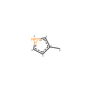 Cc1[c][pH]cc1